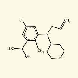 C=CCN(c1cc(Cl)cc(C(C)O)c1C)C1CCNCC1